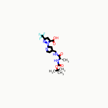 C[C@H](NC(=O)OC(C)(C)C)C(=O)NCc1ccnc(-n2nc(C(F)(F)F)cc2C(=O)O)c1